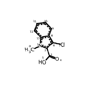 Cn1c(C(=O)O)c(Cl)c2ccccc21